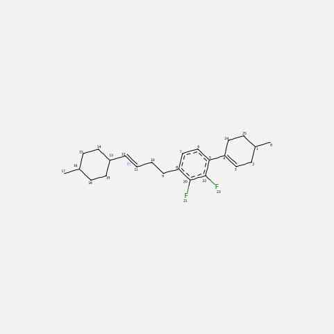 CC1CC=C(c2ccc(CC/C=C/C3CCC(C)CC3)c(F)c2F)CC1